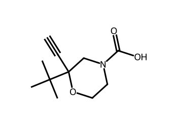 C#CC1(C(C)(C)C)CN(C(=O)O)CCO1